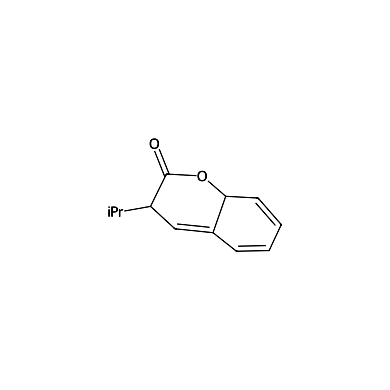 CC(C)C1C=C2C=CC=CC2OC1=O